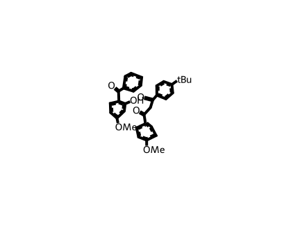 COc1ccc(C(=O)CC(=O)c2ccc(C(C)(C)C)cc2)cc1.COc1ccc(C(=O)c2ccccc2)c(O)c1